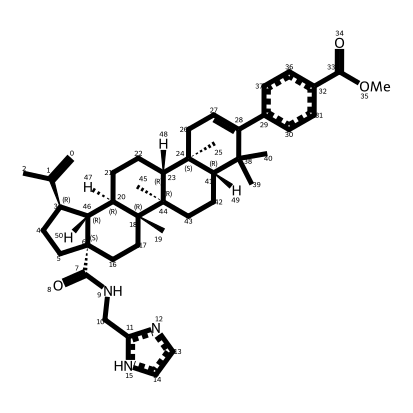 C=C(C)[C@@H]1CC[C@]2(C(=O)NCc3ncc[nH]3)CC[C@]3(C)[C@H](CC[C@@H]4[C@@]5(C)CC=C(c6ccc(C(=O)OC)cc6)C(C)(C)[C@@H]5CC[C@]43C)[C@@H]12